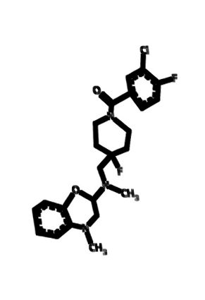 CN1CC(N(C)CC2(F)CCN(C(=O)c3ccc(F)c(Cl)c3)CC2)Oc2ccccc21